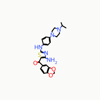 CC(C)N1CCN(c2ccc(Nc3nc(N)c(C(=O)c4ccc5c(c4)OCO5)s3)cc2)CC1